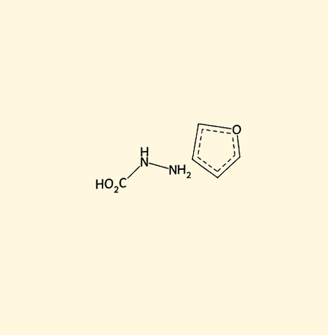 NNC(=O)O.c1ccoc1